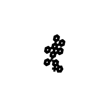 CC1(C)c2ccccc2-c2ccc(N(c3ccccc3)c3ccc4c(c3)c3ccccc3c3c(-c5ccccc5)c(-c5ccccc5)cc(-c5ccccc5)c43)cc21